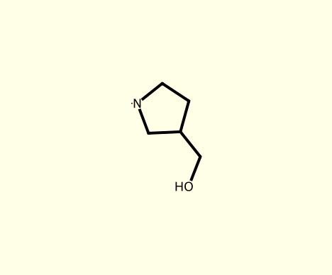 OCC1CC[N]C1